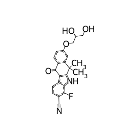 CC1(C)c2cc(OC[C@@H](O)CO)ccc2C(=O)c2c1[nH]c1c(F)c(C#N)ccc21